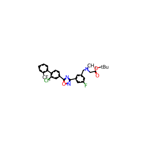 CN(CC(=O)OC(C)(C)C)Cc1cc(F)cc(-c2noc(-c3ccc(-c4ccccc4C(F)(F)F)c(Cl)c3)n2)c1